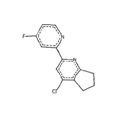 Fc1ccnc(-c2cc(Cl)c3c(n2)CCC3)c1